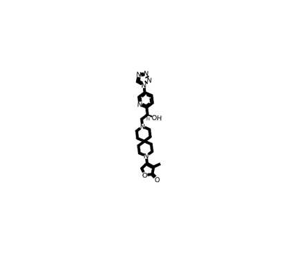 CC1=C(N2CCC3(CCN(C[C@H](O)c4ccc(-n5cnnn5)cn4)CC3)CC2)COC1=O